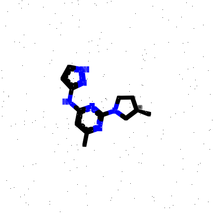 Cc1cc(Nc2cc[nH]n2)nc(N2C[CH][C@@H](C)C2)n1